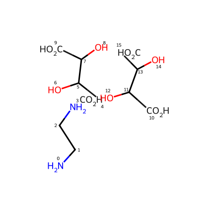 NCCN.O=C(O)C(O)C(O)C(=O)O.O=C(O)C(O)C(O)C(=O)O